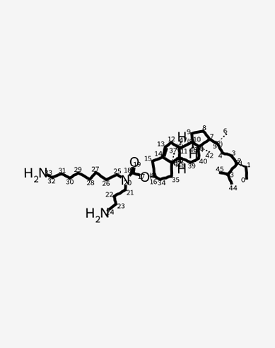 CC[C@H](CC[C@@H](C)C1CC[C@H]2[C@@H]3CC=C4C[C@@H](OC(=O)N(CCCN)CCCCCCCCN)CC[C@]4(C)[C@H]3CC[C@]12C)C(C)C